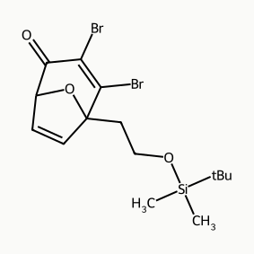 CC(C)(C)[Si](C)(C)OCCC12C=CC(O1)C(=O)C(Br)=C2Br